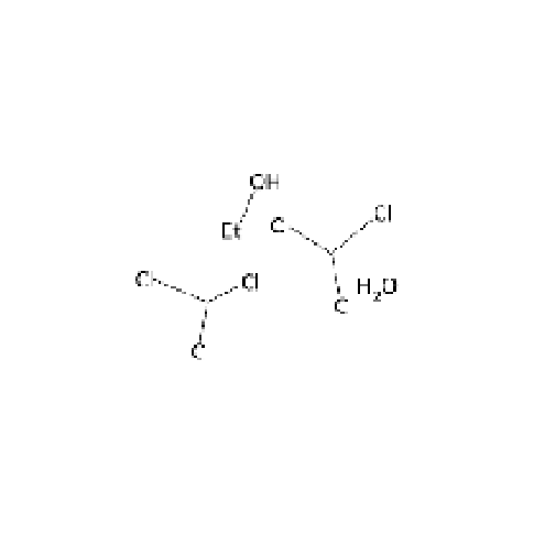 CCO.ClC(Cl)Cl.ClC(Cl)Cl.O